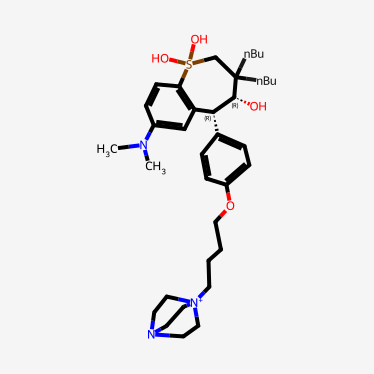 CCCCC1(CCCC)CS(O)(O)c2ccc(N(C)C)cc2[C@@H](c2ccc(OCCCC[N+]34CCN(CC3)CC4)cc2)[C@H]1O